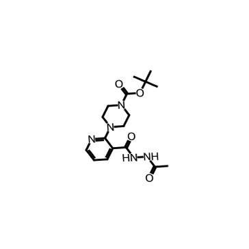 CC(=O)NNC(=O)c1cccnc1N1CCN(C(=O)OC(C)(C)C)CC1